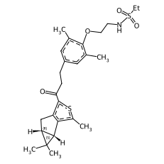 CCS(=O)(=O)NCCOc1c(C)cc(CCC(=O)c2sc(C)c3c2C[C@@H]2[C@H]3C2(C)C)cc1C